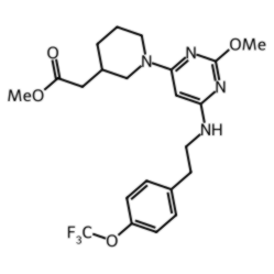 COC(=O)CC1CCCN(c2cc(NCCc3ccc(OC(F)(F)F)cc3)nc(OC)n2)C1